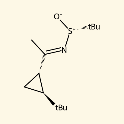 C/C(=N\[S@+]([O-])C(C)(C)C)[C@H]1C[C@@H]1C(C)(C)C